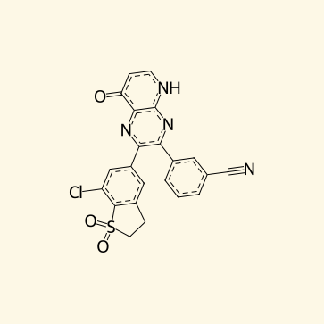 N#Cc1cccc(-c2nc3[nH]ccc(=O)c3nc2-c2cc(Cl)c3c(c2)CCS3(=O)=O)c1